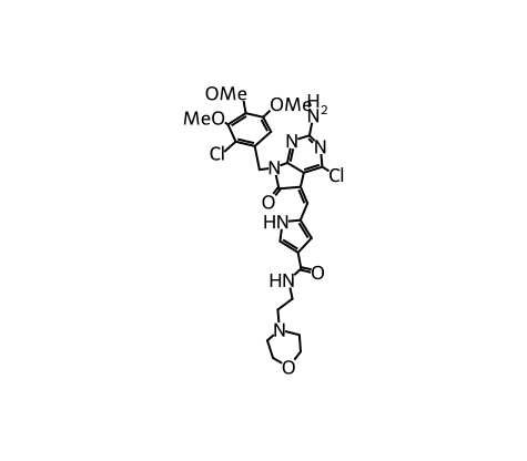 COc1cc(CN2C(=O)C(=Cc3cc(C(=O)NCCN4CCOCC4)c[nH]3)c3c(Cl)nc(N)nc32)c(Cl)c(OC)c1OC